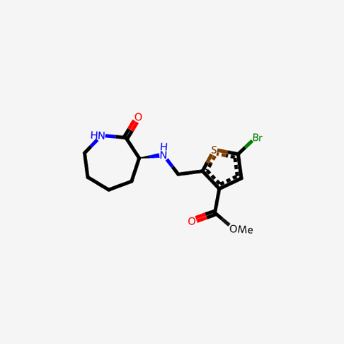 COC(=O)c1cc(Br)sc1CN[C@H]1CCCCNC1=O